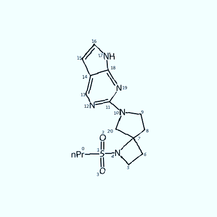 CCCS(=O)(=O)N1CCC12CCN(c1ncc3cc[nH]c3n1)C2